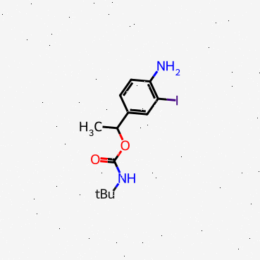 CC(OC(=O)NC(C)(C)C)c1ccc(N)c(I)c1